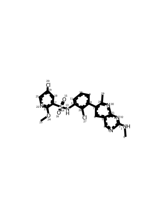 CNc1ncc2cc(-c3cccc(NS(=O)(=O)c4cc(Cl)cnc4OC)c3Cl)c(C)nc2n1